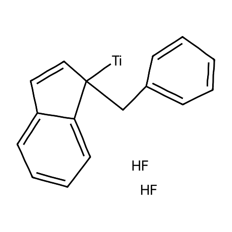 F.F.[Ti][C]1(Cc2ccccc2)C=Cc2ccccc21